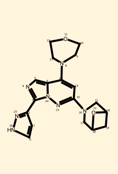 c1cc(-c2ncc3c(N4CCOCC4)cc(N4CC5CC(C4)O5)nn23)n[nH]1